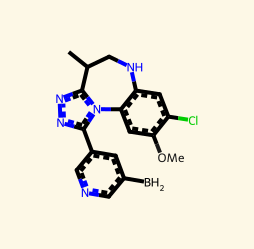 Bc1cncc(-c2nnc3n2-c2cc(OC)c(Cl)cc2NCC3C)c1